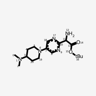 CN(C)C1CCN(c2cnc(C(N)C(=O)OC(C)(C)C)nc2)CC1